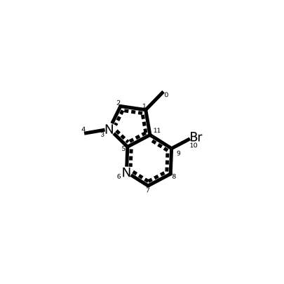 Cc1cn(C)c2nccc(Br)c12